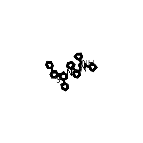 C1=C(c2ccccc2)NC(c2ccccc2)N=C1c1cccc2c1c1ccccc1n2-c1cc(-c2ccccc2)c2sc3ccc(-c4ccccc4)cc3c2c1